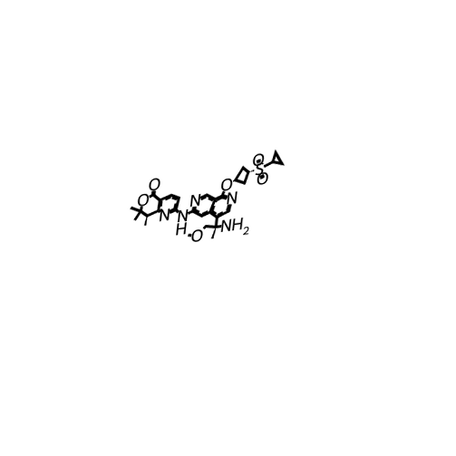 COC[C@@](C)(N)c1cnc(O[C@H]2C[C@@H](S(=O)(=O)C3CC3)C2)c2cnc(Nc3ccc4c(n3)[C@@H](C)C(C)(C)OC4=O)cc12